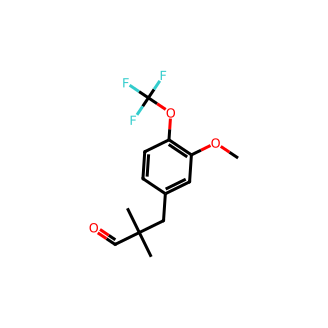 COc1cc(CC(C)(C)C=O)ccc1OC(F)(F)F